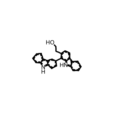 OCCc1ccc2c([nH]c3ccccc32)c1-c1ccc2[nH]c3ccccc3c2c1